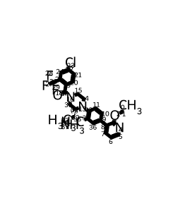 CCOc1ncccc1-c1ccc(N2CCN(C(=O)c3ccc(Cl)cc3C(F)(F)F)C[C@H]2CC)c(C)c1.N